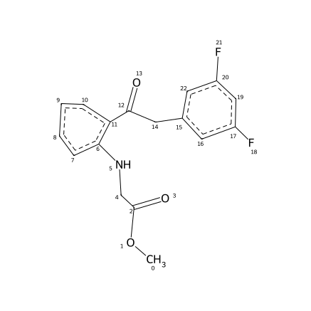 COC(=O)CNc1ccccc1C(=O)Cc1cc(F)cc(F)c1